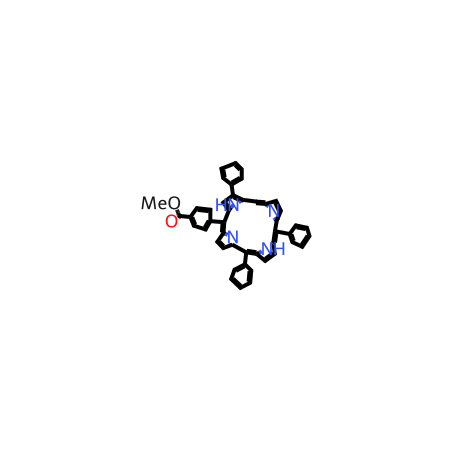 COC(=O)c1ccc(-c2c3nc(c(-c4ccccc4)c4ccc([nH]4)c(-c4ccccc4)c4nc(cc5[nH]c2cc5-c2ccccc2)C=C4)C=C3)cc1